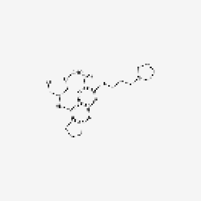 COc1cc2c(NC(CO)COC=O)c3c(nc2cc1OCCCN1CCCC1)CCC3